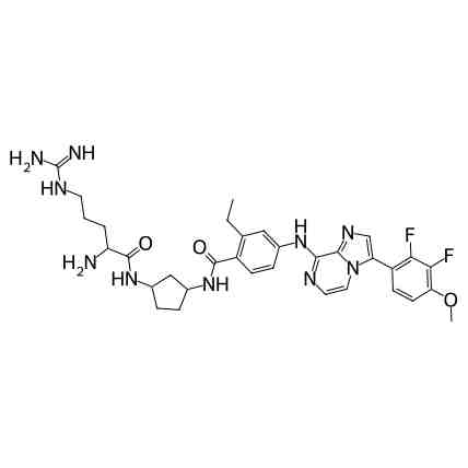 CCc1cc(Nc2nccn3c(-c4ccc(OC)c(F)c4F)cnc23)ccc1C(=O)NC1CCC(NC(=O)C(N)CCCNC(=N)N)C1